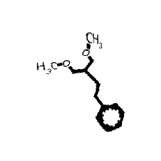 COCC(CCc1ccccc1)COC